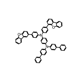 c1ccc(-c2ccc(N(c3ccc(-c4ccccc4)cc3)c3ccc(N(c4ccc(-c5ccc6oc7ccccc7c6c5)cc4)c4ccc(-c5cccc6c5oc5ccccc56)cc4)cc3)cc2)cc1